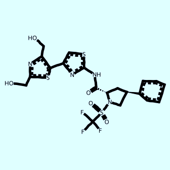 O=C(Nc1nc(-c2sc(CO)nc2CO)cs1)[C@@H]1C[C@@H](c2ccccc2)CN1S(=O)(=O)C(F)(F)F